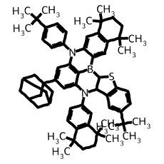 CC(C)(C)c1ccc(N2c3cc4c(cc3B3c5c2cc(C26CC7CC(CC(C7)C2)C6)cc5N(c2ccc5c(c2)C(C)(C)CCC5(C)C)C2c5cc(C(C)(C)C)ccc5SC32)C(C)(C)CCC4(C)C)cc1